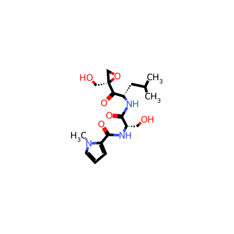 CC(C)C[C@H](NC(=O)[C@H](CO)NC(=O)c1cccn1C)C(=O)[C@@]1(CO)CO1